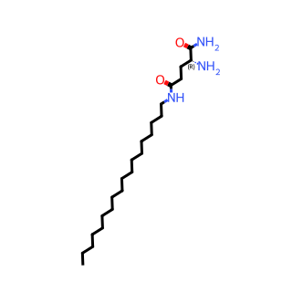 CCCCCCCCCCCCCCCCCCNC(=O)CC[C@@H](N)C(N)=O